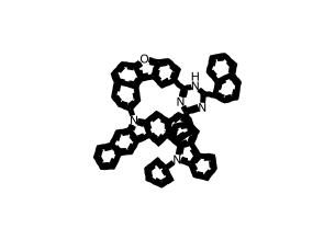 c1ccc(-n2c3ccccc3c3cc(C4=NC(c5cccc6ccccc56)NC(c5ccc6oc7ccc8ccc(-n9c%10cc%11ccccc%11cc%10c%10cc%11ccccc%11cc%109)cc8c7c6c5)=N4)ccc32)cc1